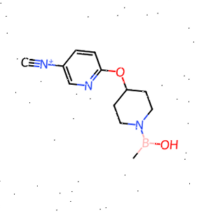 [C-]#[N+]c1ccc(OC2CCN(B(C)O)CC2)nc1